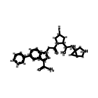 NC(=O)c1nn(CC(=O)N2CC(F)CC2C(O)NC23CNCC2C3)c2ccc(-c3ccnnc3)cc12